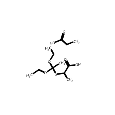 CCC(=O)O.CCOC(C)(OCC)SC(C)C(=O)O